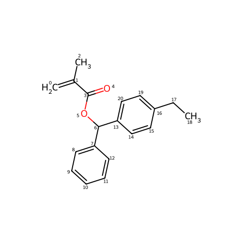 C=C(C)C(=O)OC(c1ccccc1)c1ccc(CC)cc1